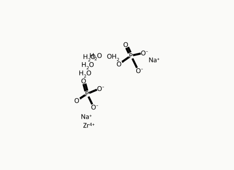 O.O.O.O.O.O=P([O-])([O-])[O-].O=P([O-])([O-])[O-].[Na+].[Na+].[Zr+4]